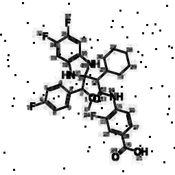 COC(c1ccc(F)cc1)C1(C(C(=O)Nc2ccc(C(=O)O)cc2F)C2CCCCC2)Nc2cc(F)c(F)cc2N1